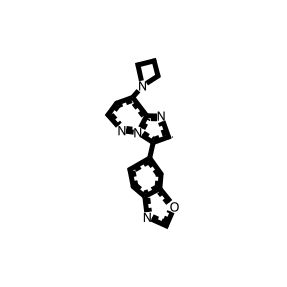 [c]1nc2c(N3CCC3)ccnn2c1-c1ccc2ncoc2c1